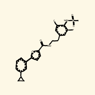 CS(=O)(=O)Nc1c(F)cc(CCNC(=O)c2ccc(-c3cccc(C4CC4)c3)o2)cc1F